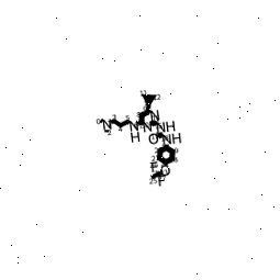 CN(C)CCCNc1cc(C2CC2)nc(NC(=O)Nc2ccc(OC(C)(F)F)cc2)n1